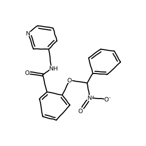 O=C(Nc1cccnc1)c1ccccc1OC(c1ccccc1)[N+](=O)[O-]